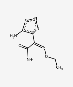 CCON=C(C([NH])=O)c1nnsc1N